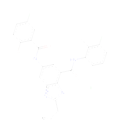 COCc1nc2c(C(=O)Nc3cccc(Cl)c3C)cc(NC(=O)c3cc(Cl)ccc3Br)cc2[nH]1.Cl